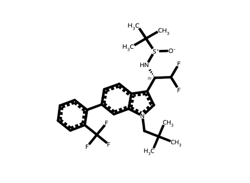 CC(C)(C)Cn1cc([C@H](N[S+]([O-])C(C)(C)C)C(F)F)c2ccc(-c3ccccc3C(F)(F)F)cc21